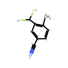 Cc1ccc(C#N)cc1C(F)F